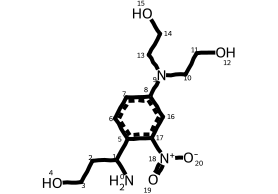 NC(CCO)c1ccc(N(CCO)CCO)cc1[N+](=O)[O-]